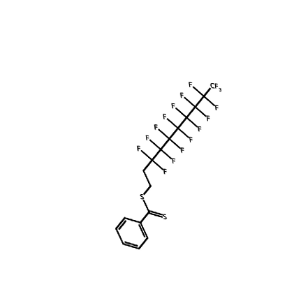 FC(F)(F)C(F)(F)C(F)(F)C(F)(F)C(F)(F)C(F)(F)C(F)(F)C(F)(F)CCSC(=S)c1ccccc1